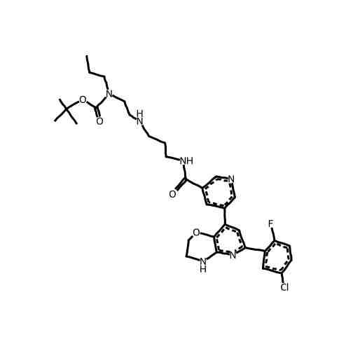 CCCN(CCNCCCNC(=O)c1cncc(-c2cc(-c3cc(Cl)ccc3F)nc3c2OCCN3)c1)C(=O)OC(C)(C)C